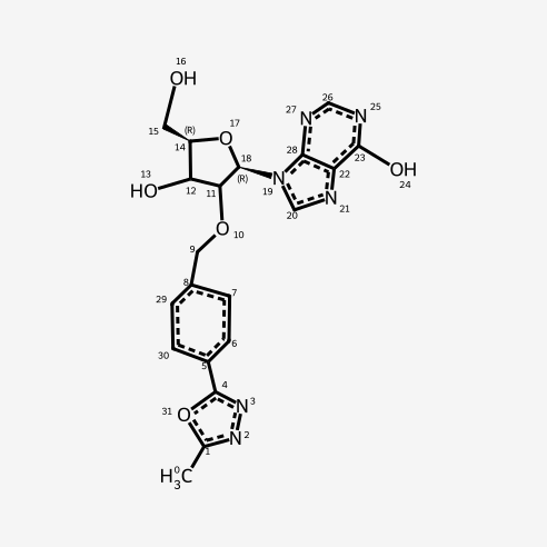 Cc1nnc(-c2ccc(COC3C(O)[C@@H](CO)O[C@H]3n3cnc4c(O)ncnc43)cc2)o1